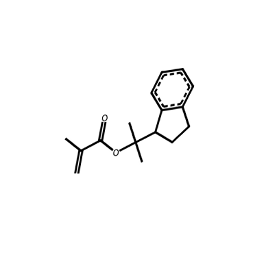 C=C(C)C(=O)OC(C)(C)C1CCc2ccccc21